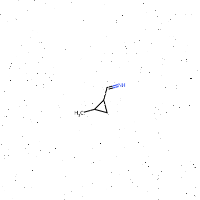 CC1CC1C=N